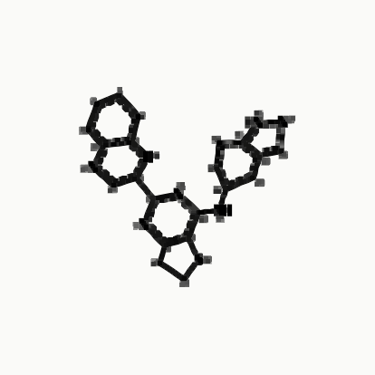 c1ccc2nc(-c3nc4c(c(Nc5ccc6[nH]ncc6c5)n3)SCC4)cnc2c1